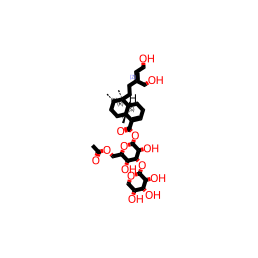 CC(=O)OCC1OC(OC(=O)C2=CCC[C@H]3[C@](C)(CC/C(=C/CO)CO)[C@@H](C)CC[C@@]23C)C(O)C(OC2OCC(O)C(O)C2O)C1O